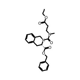 CCOC(=O)CCN(C)C(=O)N1Cc2ccccc2C[C@H]1C(=O)OCc1ccccc1